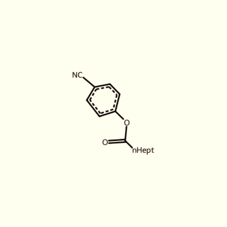 CCCCCCCC(=O)Oc1ccc(C#N)cc1